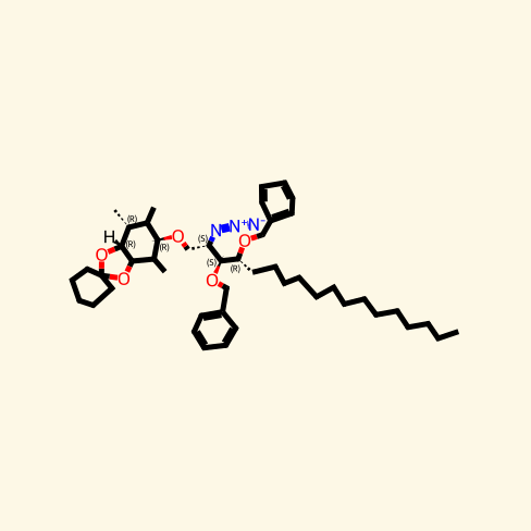 CCCCCCCCCCCCCC[C@@H](OCc1ccccc1)[C@@H](OCc1ccccc1)[C@H](CO[C@H]1C(C)C2OC3(CCCCC3)O[C@@H]2[C@H](C)C1C)N=[N+]=[N-]